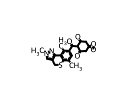 Cc1cc(C(=O)C2C(=O)CC3(CC2=O)OO3)c(C)c2c1SCc1cn(C)nc1-2